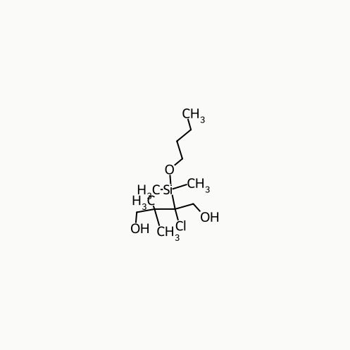 CCCCO[Si](C)(C)C(Cl)(CO)C(C)(C)CO